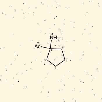 CC(=O)C1(N)CCCC1